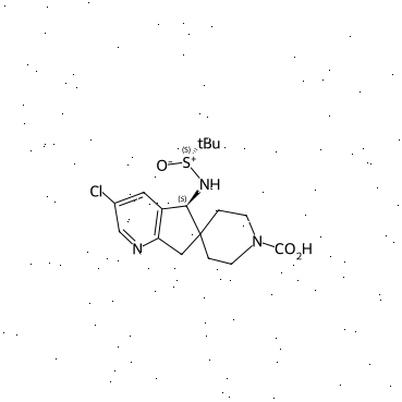 CC(C)(C)[S@@+]([O-])N[C@@H]1c2cc(Cl)cnc2CC12CCN(C(=O)O)CC2